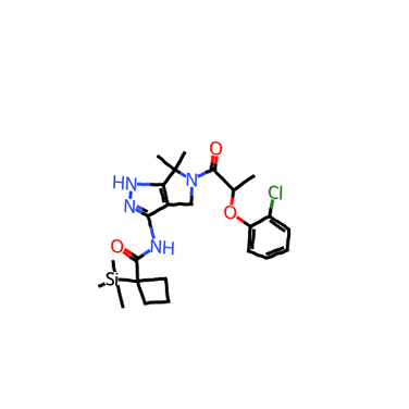 CC(Oc1ccccc1Cl)C(=O)N1Cc2c(NC(=O)C3([Si](C)(C)C)CCC3)n[nH]c2C1(C)C